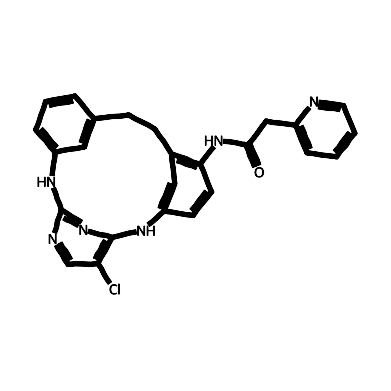 O=C(Cc1ccccn1)Nc1ccc2cc1CCc1cccc(c1)Nc1ncc(Cl)c(n1)N2